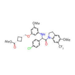 COc1cc(NC(C(=O)N2CCc3cc(OC)c(C(F)(F)F)cc32)c2ccc(Cl)cc2)cc(OC[C@H]2C[C@@H](C(=O)OC)C2)c1